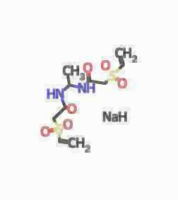 C=CS(=O)(=O)CC(=O)NC(C)NC(=O)CS(=O)(=O)C=C.[NaH]